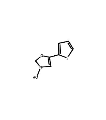 ON1C=C(c2cccs2)OC1